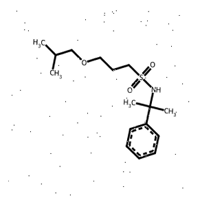 CC(C)COCCCS(=O)(=O)NC(C)(C)c1ccccc1